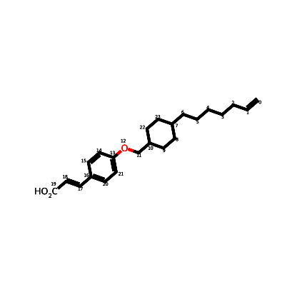 C=CCCCCCC1CCC(COc2ccc(C=CC(=O)O)cc2)CC1